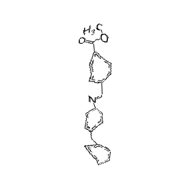 COC(=O)c1ccc(C=Nc2ccc(-c3ccccc3)cc2)cc1